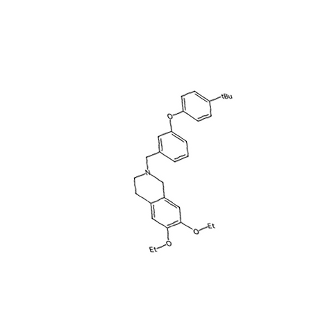 CCOc1cc2c(cc1OCC)CN(Cc1cccc(Oc3ccc(C(C)(C)C)cc3)c1)CC2